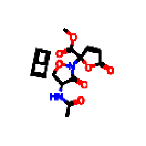 COC(=O)C1(N2OC[C@@H](NC(C)=O)C2=O)C=CC(=O)O1.c1cc2ccc1-2